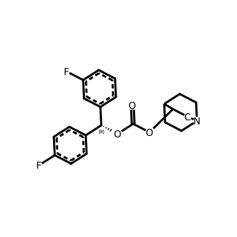 O=C(OC1CN2CCC1CC2)O[C@H](c1ccc(F)cc1)c1cccc(F)c1